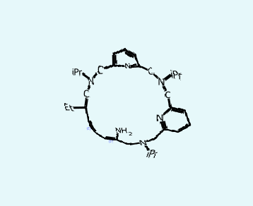 CCC1/C=C\C=C(/N)CN(C(C)C)Cc2cccc(n2)CN(C(C)C)Cc2cccc(n2)CN(C(C)C)C1